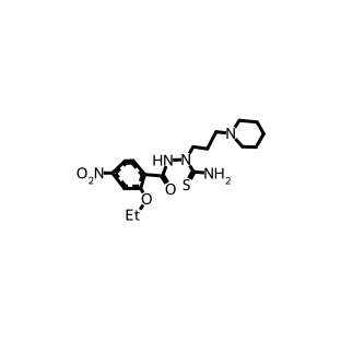 CCOc1cc([N+](=O)[O-])ccc1C(=O)NN(CCCN1CCCCC1)C(N)=S